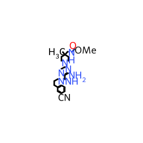 COC(=O)NCC1(C)CCN(c2cnc(C(=N)N3CCCc4cc(C#N)ccc43)c(N)n2)CC1